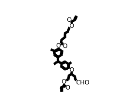 C=CC(=O)OCCCCCC(=O)Oc1ccc(C(C)c2ccc(OC(CCC=O)CCOC(=O)C=C)c(C)c2)cc1C